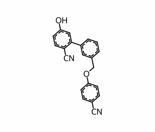 N#Cc1ccc(OCc2cccc(-c3cc(O)ccc3C#N)c2)cc1